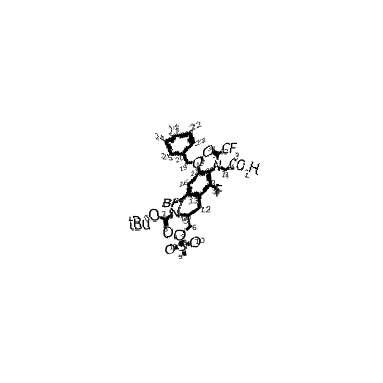 CC(C)(C)OC(=O)N[C@H](COS(C)(=O)=O)Cc1c(Br)cc(OCc2ccccc2)c(N(CC(=O)O)C(=O)C(F)(F)F)c1F